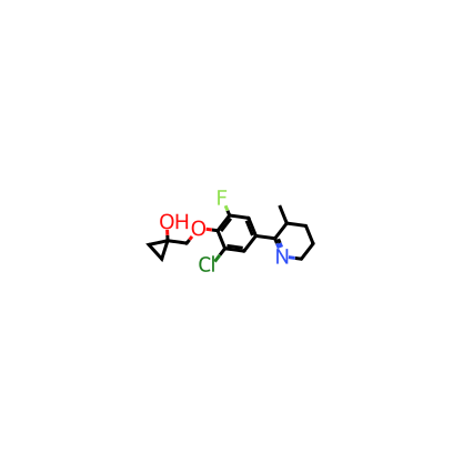 CC1CCCN=C1c1cc(F)c(OCC2(O)CC2)c(Cl)c1